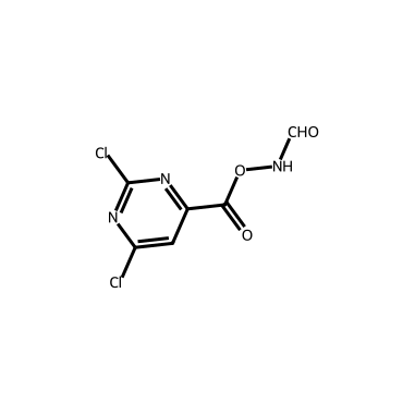 O=CNOC(=O)c1cc(Cl)nc(Cl)n1